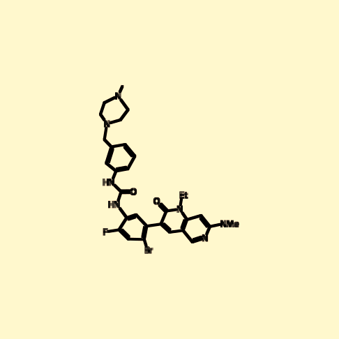 CCn1c(=O)c(-c2cc(NC(=O)Nc3cccc(CN4CCN(C)CC4)c3)c(F)cc2Br)cc2cnc(NC)cc21